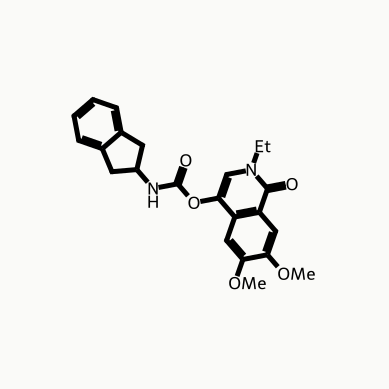 CCn1cc(OC(=O)NC2Cc3ccccc3C2)c2cc(OC)c(OC)cc2c1=O